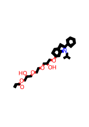 C=CC(=O)OCC(O)COCCOCC(O)COc1ccc2cc(-c3ccccc3)n(CC(C)C)c2c1